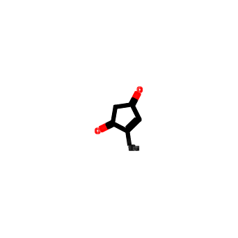 CC(C)(C)C1=CC(=O)CC1=O